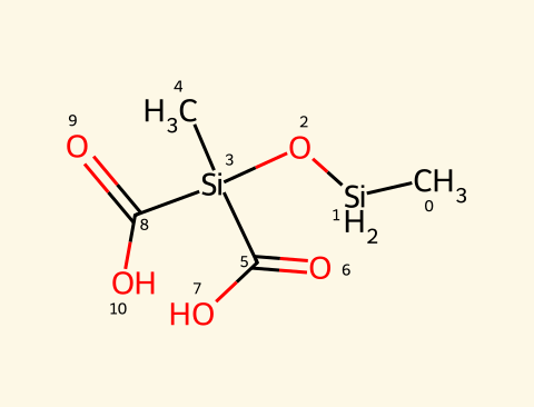 C[SiH2]O[Si](C)(C(=O)O)C(=O)O